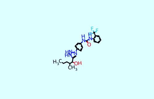 CCCC(C)C(O)C1=CN(c2ccc(NC(=O)Nc3ccccc3C(F)(F)F)cc2)NN1